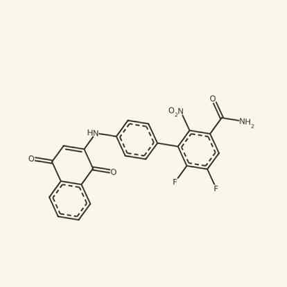 NC(=O)c1cc(F)c(F)c(-c2ccc(NC3=CC(=O)c4ccccc4C3=O)cc2)c1[N+](=O)[O-]